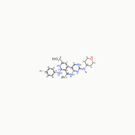 CCOC(=O)c1cc(-c2cnc(N(C)C3CCOCC3)nc2)c(C(=N)C(C)C)c(Nc2ccc(F)cc2)n1